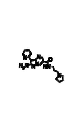 Nc1nn2cc(C(=O)NCCCN3CCCC3)cnc2c1-c1ccccn1